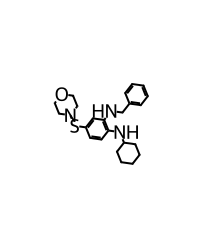 c1ccc(CNc2cc(SN3CCOCC3)ccc2NC2CCCCC2)cc1